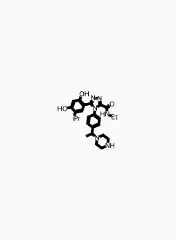 CCNC(=O)c1nnc(-c2cc(C(C)C)c(O)cc2O)n1-c1ccc(C(C)N2CCNCC2)cc1